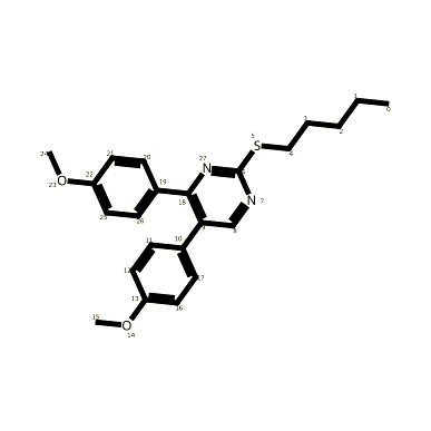 CCCCCSc1ncc(-c2ccc(OC)cc2)c(-c2ccc(OC)cc2)n1